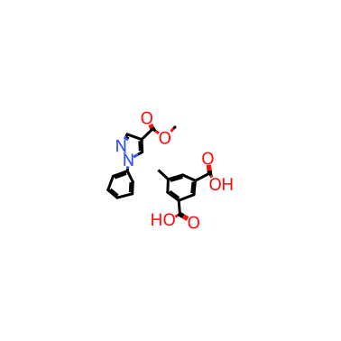 COC(=O)c1cnn(-c2ccccc2)c1.Cc1cc(C(=O)O)cc(C(=O)O)c1